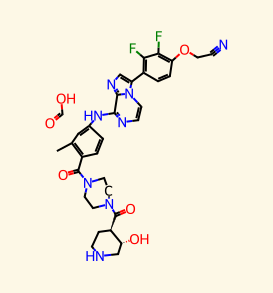 Cc1cc(Nc2nccn3c(-c4ccc(OCC#N)c(F)c4F)cnc23)ccc1C(=O)N1CCN(C(=O)[C@@H]2CCNC[C@H]2O)CC1.O=CO